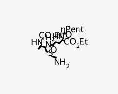 C=C(NCC(=O)OCC)C(CSCCN)NC(=O)CCC(NC(=O)CCCCC)C(=O)OCC